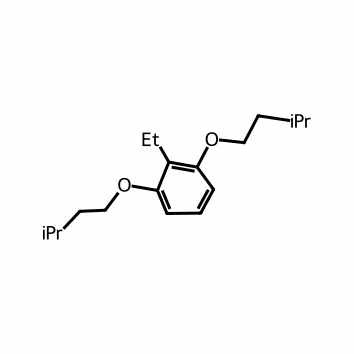 [CH2]Cc1c(OCCC(C)C)cccc1OCCC(C)C